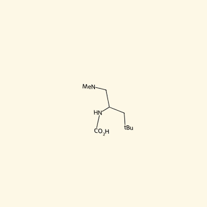 CNCC(CC(C)(C)C)NC(=O)O